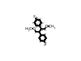 COCC(c1ccc(F)cc1)C(COC)c1ccc(F)cc1